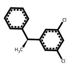 C[C@@H](c1ccccc1)c1cc(Cl)cc(Cl)c1